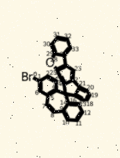 Brc1ccc2c(c1)C=Cc1ccccc1C21c2ccccc2-c2cc3c(cc21)oc1ccccc13